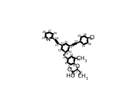 CCC(Oc1ccc(Sc2cc(C#Cc3ccc(Cl)cc3)cc(C#Cc3ccccn3)c2)cc1C)C(=O)O